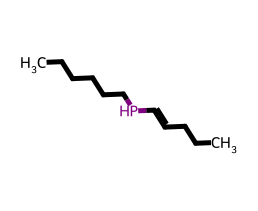 CCCC=CPCCCCCC